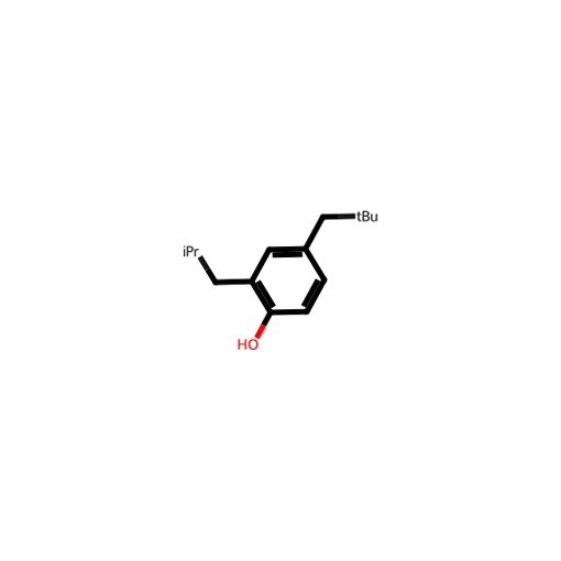 CC(C)Cc1cc(CC(C)(C)C)ccc1O